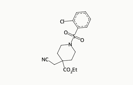 CCOC(=O)C1(CC#N)CCN(S(=O)(=O)c2ccccc2Cl)CC1